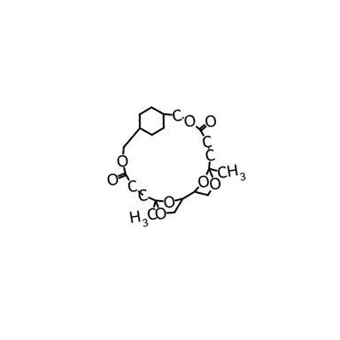 CC12CCC(=O)OCC3CCC(CC3)COC(=O)CCC3(C)OCC(O3)C(CO1)O2